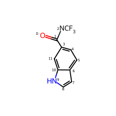 O=C(NC(F)(F)F)c1ccc2cc[nH]c2c1